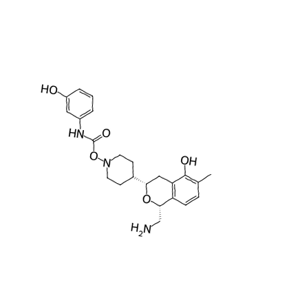 Cc1ccc2c(c1O)C[C@@H](C1CCN(OC(=O)Nc3cccc(O)c3)CC1)O[C@H]2CN